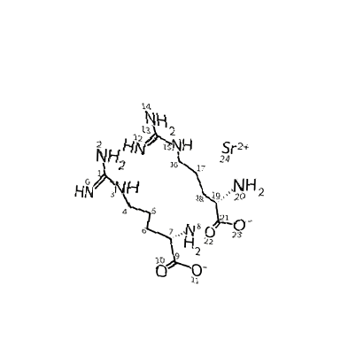 N=C(N)NCCC[C@H](N)C(=O)[O-].N=C(N)NCCC[C@H](N)C(=O)[O-].[Sr+2]